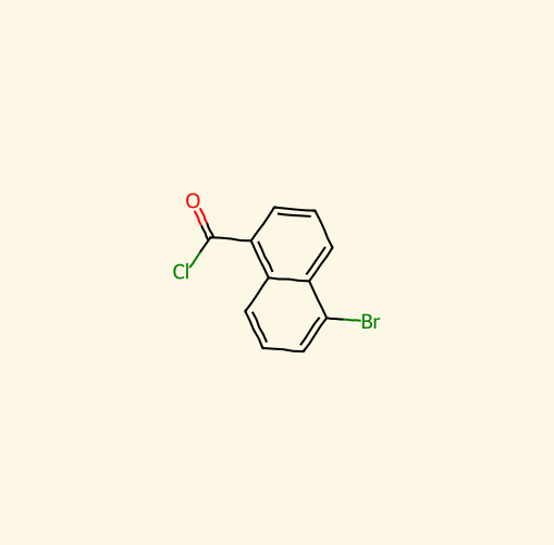 O=C(Cl)c1cccc2c(Br)cccc12